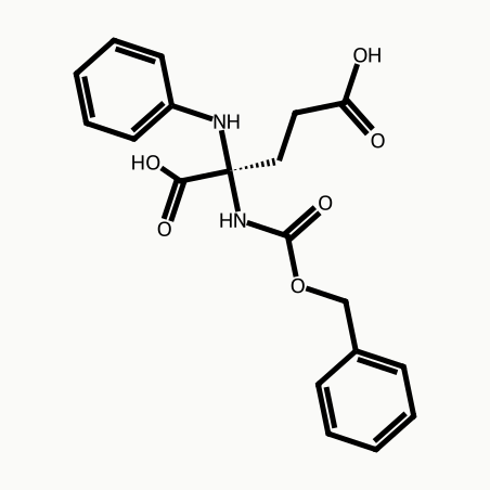 O=C(O)CC[C@@](NC(=O)OCc1ccccc1)(Nc1ccccc1)C(=O)O